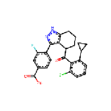 O=C(O)c1ccc(-c2n[nH]c3c2C(C(=O)c2c(Cl)cccc2C2CC2)CCC3)c(F)c1